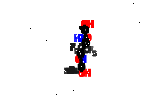 CCCCc1cc(-c2nc3cc(C(c4ccc5c(c4)NC(c4ccc(O)c(C)c4)O5)(C(F)(F)F)C(F)(F)F)ccc3o2)ccc1O